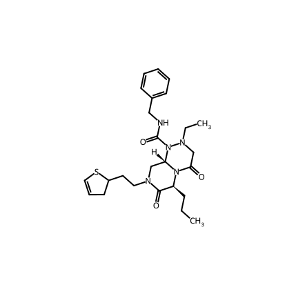 CCC[C@H]1C(=O)N(CCC2CC=CS2)C[C@H]2N1C(=O)CN(CC)N2C(=O)NCc1ccccc1